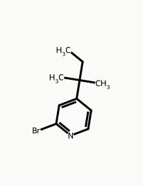 CCC(C)(C)c1ccnc(Br)c1